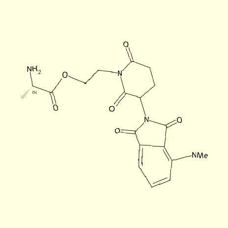 CNc1cccc2c1C(=O)N(C1CCC(=O)N(CCOC(=O)[C@H](C)N)C1=O)C2=O